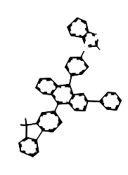 CCc1nc2ccccc2n1-c1ccc(-c2c3ccccc3c(-c3ccc4c(c3)C(C)(C)c3ccccc3-4)c3ccc(-c4ccccc4)cc23)cc1